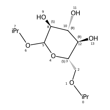 CC(C)OC[C@@H]1OC(OC(C)C)[C@@H](O)[C@H](O)[C@H]1O